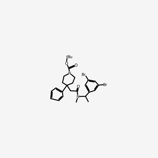 CC(c1cc(Br)cc(Br)c1)N(C)C(=O)CC1(c2ccccc2)CCN(C(=O)OC(C)(C)C)CC1